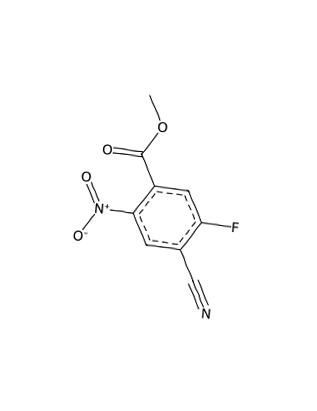 COC(=O)c1cc(F)c(C#N)cc1[N+](=O)[O-]